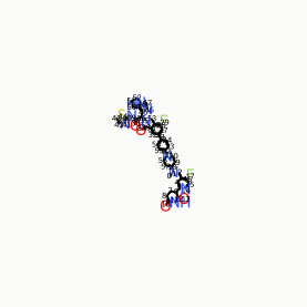 CN(Cc1cc(C2CCC(=O)NC2=O)ncc1F)C1CCN(c2ccc(-c3cc(F)c4c(c3)C(=O)N(C(C(=O)Nc3nccs3)c3ncn5c3CCC5)C4)cc2)CC1